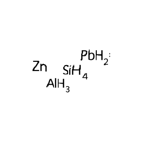 [AlH3].[PbH2].[SiH4].[Zn]